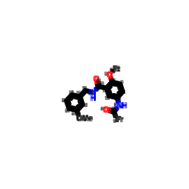 CCOc1ccc(NC(=O)C(C)C)cc1C(=O)NCc1cccc(OC)c1